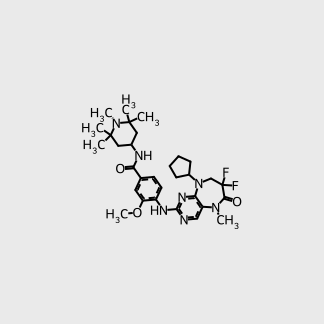 COc1cc(C(=O)NC2CC(C)(C)N(C)C(C)(C)C2)ccc1Nc1ncc2c(n1)N(C1CCCC1)CC(F)(F)C(=O)N2C